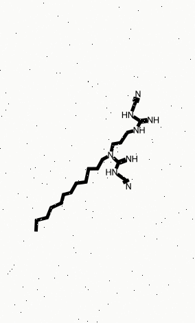 CCCCCCCCCCCCN(CCCNC(=N)NC#N)C(=N)NC#N